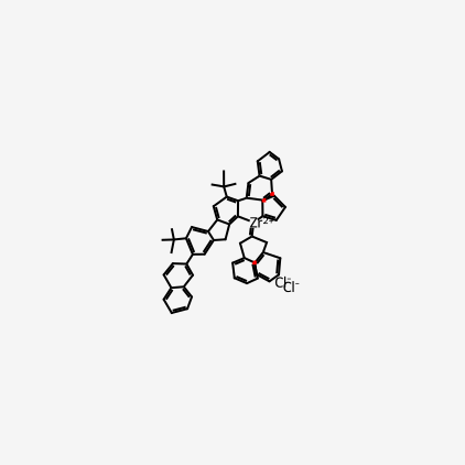 CC(C)(C)c1cc2c(cc1-c1ccc3ccccc3c1)Cc1c-2cc(C(C)(C)C)c(-c2ccc3ccccc3c2)[c]1[Zr+2]([C]1=CC=CC1)=[C](Cc1ccccc1)Cc1ccccc1.[Cl-].[Cl-]